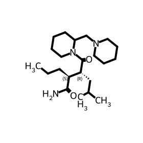 CCC[C@H](C(N)=O)[C@@H](CC(C)C)C(=O)N1CCCCC1CN1CCCCC1